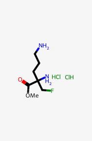 COC(=O)C(N)(CF)CCCN.Cl.Cl